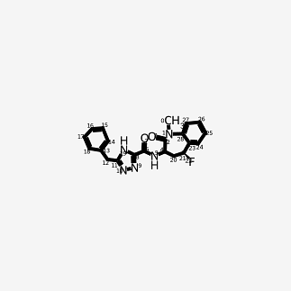 CN1C(=O)C(NC(=O)c2nnc(Cc3ccccc3)[nH]2)C[C@H](F)c2ccccc21